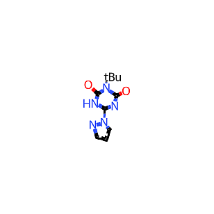 CC(C)(C)n1c(=O)nc(-n2cccn2)[nH]c1=O